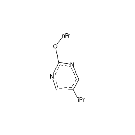 CCCOc1ncc(C(C)C)cn1